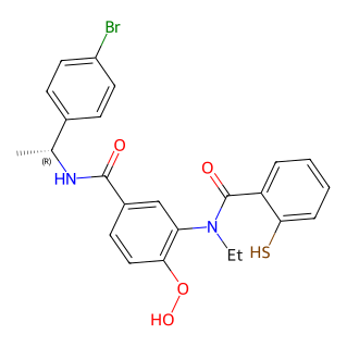 CCN(C(=O)c1ccccc1S)c1cc(C(=O)N[C@H](C)c2ccc(Br)cc2)ccc1OO